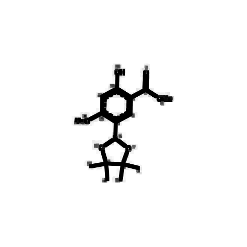 COC(=O)c1cc(B2OC(C)(C)C(C)(C)O2)c(OC)cc1O